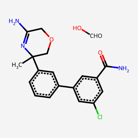 CC1(c2cccc(-c3cc(Cl)cc(C(N)=O)c3)c2)COCC(N)=N1.O=CO